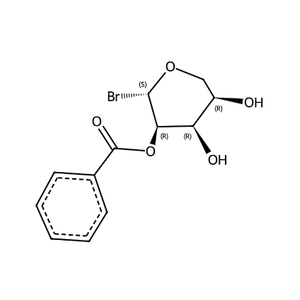 O=C(O[C@@H]1[C@H](O)[C@H](O)CO[C@H]1Br)c1ccccc1